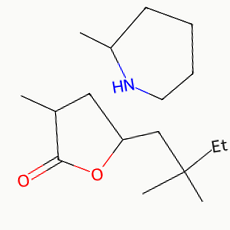 CC1CCCCN1.CCC(C)(C)CC1CC(C)C(=O)O1